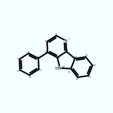 c1ccc(-c2ccnc3c2[nH]c2ccccc23)cc1